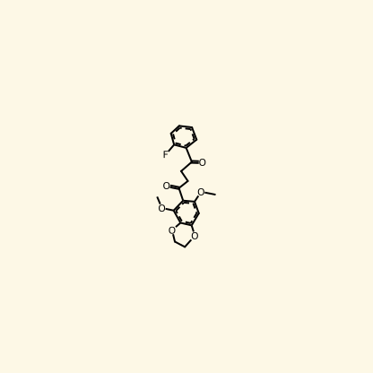 COc1cc2c(c(OC)c1C(=O)CCC(=O)c1ccccc1F)OCCO2